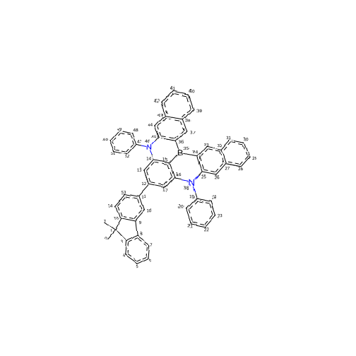 CC1(C)c2ccccc2-c2cc(-c3cc4c5c(c3)N(c3ccccc3)c3cc6ccccc6cc3B5c3cc5ccccc5cc3N4c3ccccc3)ccc21